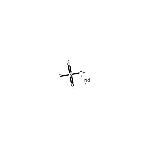 CS(=O)(=O)O.[Nd]